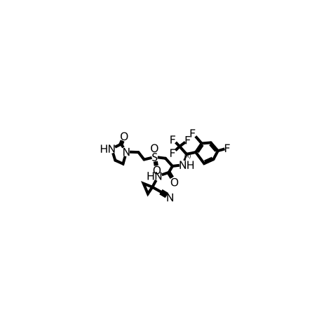 N#CC1(NC(=O)C(CS(=O)(=O)CCN2CCNC2=O)N[C@H](c2ccc(F)cc2F)C(F)(F)F)CC1